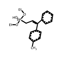 CCO[PH](O)(CC=C(c1ccccc1)c1ccc(C)cc1)OCC